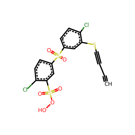 C#CC#CSc1cc(S(=O)(=O)c2ccc(Cl)c(S(=O)(=O)OO)c2)ccc1Cl